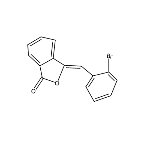 O=C1OC(=Cc2ccccc2Br)c2ccccc21